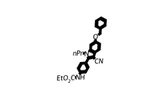 CCCn1c(-c2ccc(NC(=O)OCC)cc2)c(C#N)c2ccc(OCc3ccccc3)cc21